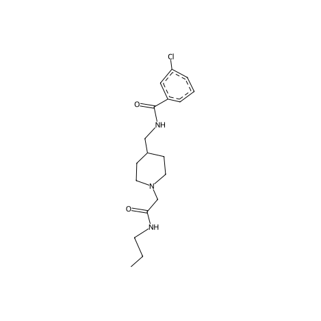 CCCNC(=O)CN1CCC(CNC(=O)c2cccc(Cl)c2)CC1